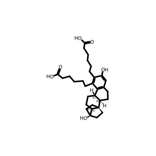 C[C@]12CC[C@@H]3c4c(cc(O)c(CCCCCC(=O)O)c4CCCCCC(=O)O)CC[C@H]3[C@]13CC[C@]2(O)CC3